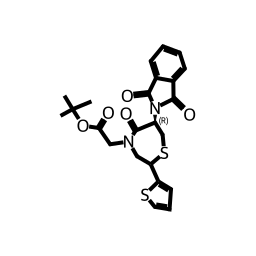 CC(C)(C)OC(=O)CN1CC(c2cccs2)SC[C@H](N2C(=O)c3ccccc3C2=O)C1=O